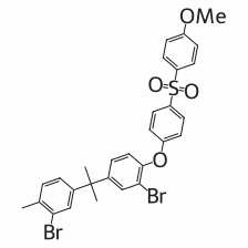 COc1ccc(S(=O)(=O)c2ccc(Oc3ccc(C(C)(C)c4ccc(C)c(Br)c4)cc3Br)cc2)cc1